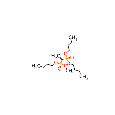 C=C(P(=O)(OC)OCCCC)P(=O)(OCCCC)OCCCC